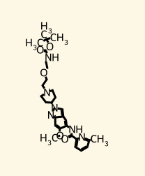 COc1cc2nn(C3CCN(CCOCCNC(=O)OC(C)(C)C)CC3)cc2cc1NC(=O)c1cccc(C)n1